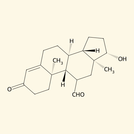 C[C@]12CC(C=O)[C@H]3[C@@H](CCC4=CC(=O)CC[C@@]43C)[C@@H]1CC[C@@H]2O